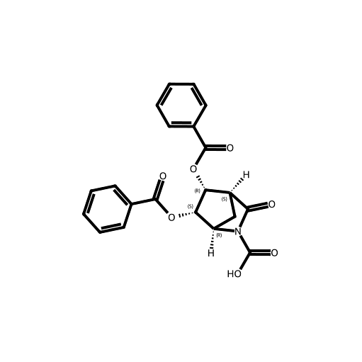 O=C(O[C@@H]1[C@H](OC(=O)c2ccccc2)[C@@H]2C[C@H]1N(C(=O)O)C2=O)c1ccccc1